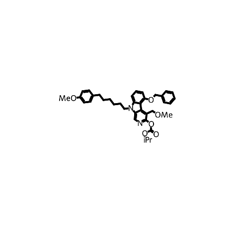 COCc1c(OC(=O)OC(C)C)ncc2c1c1c(OCc3ccccc3)cccc1n2CCCCCCc1ccc(OC)cc1